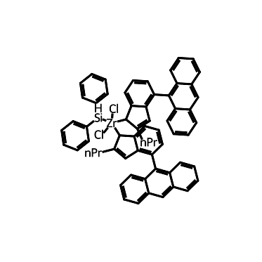 CCCC1=Cc2c(-c3c4ccccc4cc4ccccc34)cccc2[CH]1[Zr]([Cl])([Cl])([CH]1C(CCC)=Cc2c(-c3c4ccccc4cc4ccccc34)cccc21)[SiH](c1ccccc1)c1ccccc1